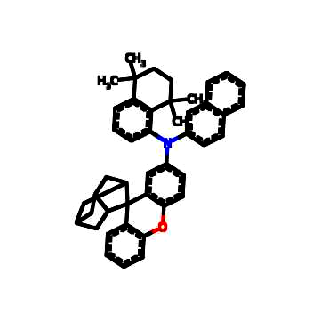 CC1(C)CCC(C)(C)c2c(N(c3ccc4c(c3)C3(c5ccccc5O4)C4CC5CC(C4)C3C5)c3ccc4ccccc4c3)cccc21